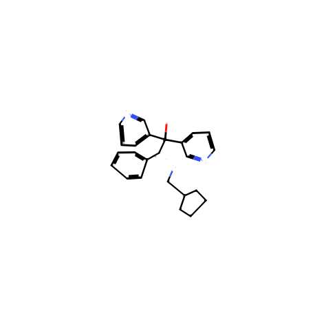 OC(c1cccnc1)(c1cccnc1)[C@H](NCC1CCCC1)c1ccccc1